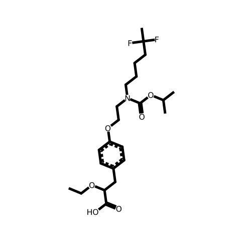 CCOC(Cc1ccc(OCCN(CCCCC(C)(F)F)C(=O)OC(C)C)cc1)C(=O)O